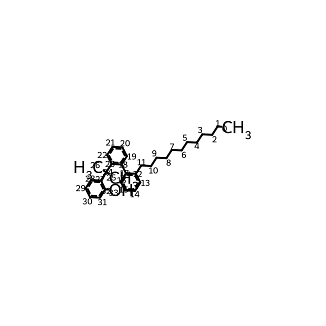 CCCCCCCCCCCCc1ccccc1-c1ccccc1C(C)(C)c1ccccc1O